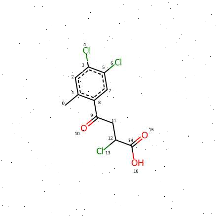 Cc1cc(Cl)c(Cl)cc1C(=O)CC(Cl)C(=O)O